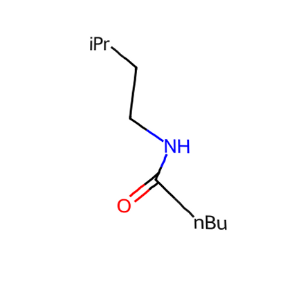 CCCCC(=O)NCCC(C)C